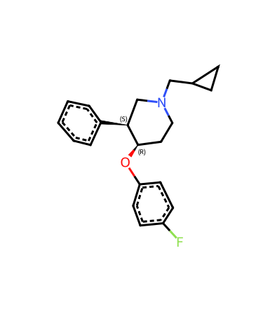 Fc1ccc(O[C@@H]2CCN(CC3CC3)C[C@@H]2c2ccccc2)cc1